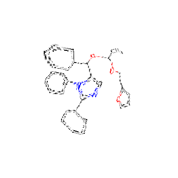 CC(OCc1ccco1)OC(c1ccccc1)c1cnc(-c2ccccc2)n1-c1ccccc1